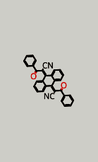 N#CC(C(=O)c1ccccc1)=c1c2ccccc2c(=C(C#N)C(=O)c2ccccc2)c2ccccc12